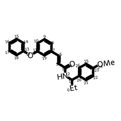 CCC(NC(=O)/C=C/c1cccc(Oc2ccccc2)c1)c1ccc(OC)cc1